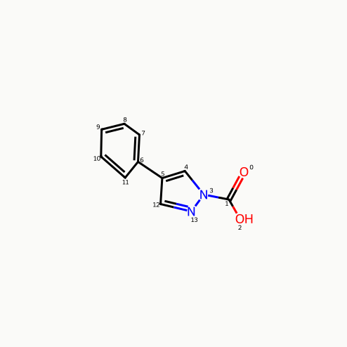 O=C(O)n1cc(-c2ccccc2)cn1